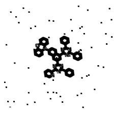 c1ccc(-c2nc(-c3cc(-c4nc(-c5ccccc5)nc(-c5ccccc5)n4)c4ccc(N5c6ccccc6Oc6ccccc65)cc4c3)nc(-c3ccccn3)n2)cc1